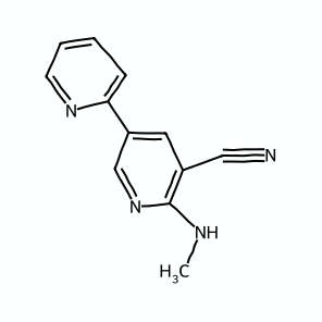 CNc1ncc(-c2ccccn2)cc1C#N